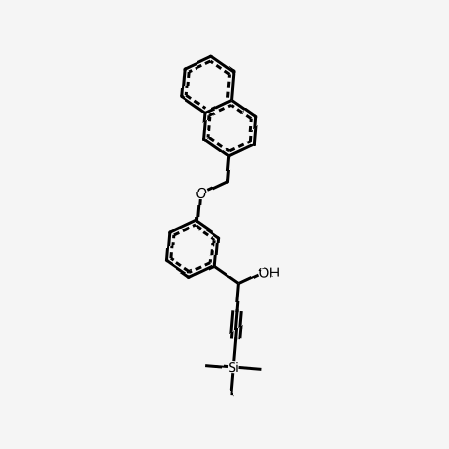 C[Si](C)(C)C#CC(O)c1cccc(OCc2ccc3ccccc3c2)c1